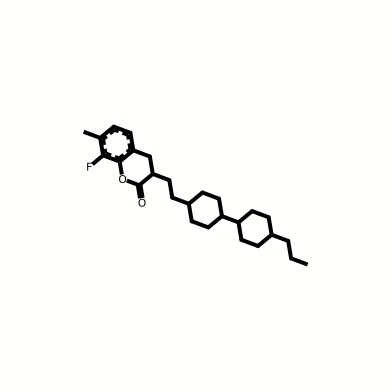 CCCC1CCC(C2CCC(CCC3Cc4ccc(C)c(F)c4OC3=O)CC2)CC1